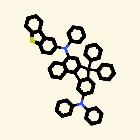 c1ccc(N(c2ccccc2)c2ccc3c(c2)-c2c(cc(N(c4ccccc4)c4ccc5sc6ccccc6c5c4)c4ccccc24)[Si]3(c2ccccc2)c2ccccc2)cc1